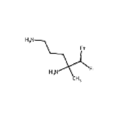 CCC(CC)C(C)(N)CCCN